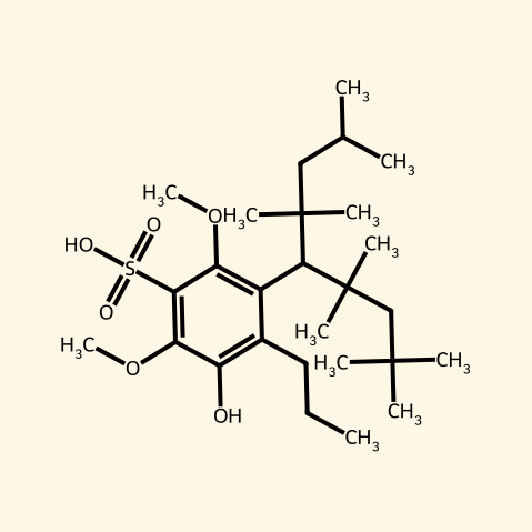 CCCc1c(O)c(OC)c(S(=O)(=O)O)c(OC)c1C(C(C)(C)CC(C)C)C(C)(C)CC(C)(C)C